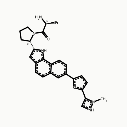 CC(C)[C@H](N)C(=O)N1CCC[C@H]1c1cc2ccc3cc(-c4ccc(-c5c[nH]n5C)s4)ccc3c2[nH]1